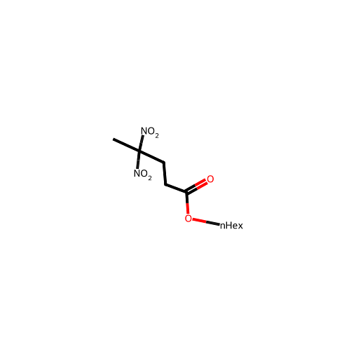 CCCCCCOC(=O)CCC(C)([N+](=O)[O-])[N+](=O)[O-]